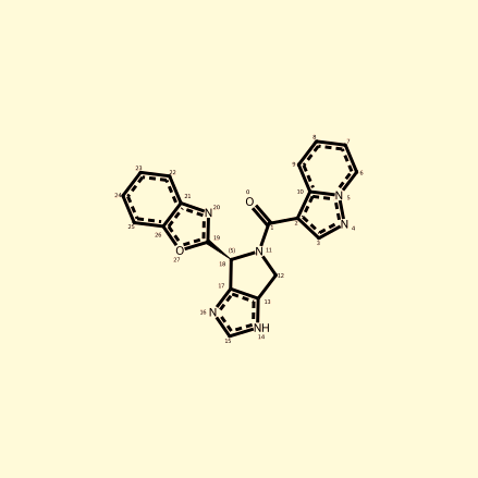 O=C(c1cnn2ccccc12)N1Cc2[nH]cnc2[C@H]1c1nc2ccccc2o1